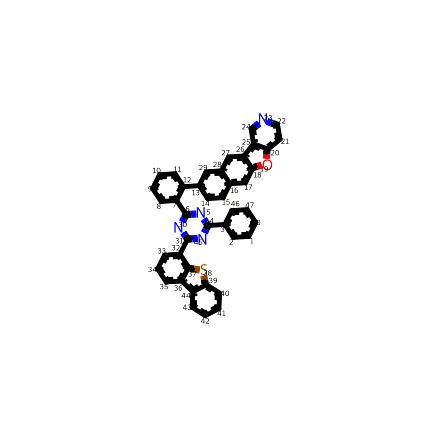 c1ccc(-c2nc(-c3ccccc3-c3ccc4cc5oc6ccncc6c5cc4c3)nc(-c3cccc4c3sc3ccccc34)n2)cc1